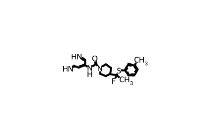 Cc1cccc(SC(C)(F)C2CCN(C(=O)N/C(C=N)=C/C=N)CC2)c1